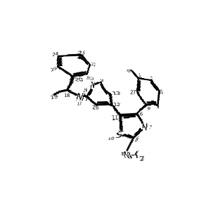 Cc1cccc(-c2nc(N)sc2-c2ccnc(NC(C)c3ccccc3)c2)c1